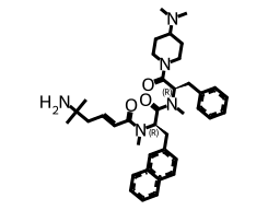 CN(C)C1CCN(C(=O)[C@@H](Cc2ccccc2)N(C)C(=O)[C@@H](Cc2ccc3ccccc3c2)N(C)C(=O)C=CCC(C)(C)N)CC1